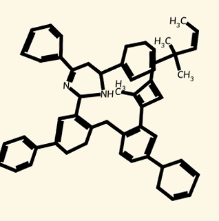 C/C=C\C(C)(C)CC1=CC(c2cc(C3C=CC=CC3)ccc2CC2=C(C3N=C(c4ccccc4)CC(C4=CC=CCC4)N3)C=C(c3ccccc3)CC2)=C1C